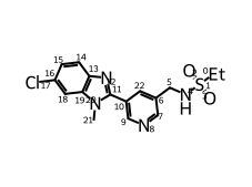 CCS(=O)(=O)NCc1cncc(-c2nc3ccc(Cl)cc3n2C)c1